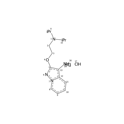 CC(C)N(CCOc1nn2ccccc2c1N)C(C)C.Cl.Cl